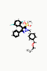 CS(=O)(=O)c1c(-c2cc(F)ccc2F)c(-c2ccccc2)nn1C[C@H]1CC[C@H](COCC(=O)O)CC1